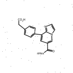 CCCCCCC(=O)c1cc(-c2ccc(CC(=O)O)cc2)c2nccn2c1